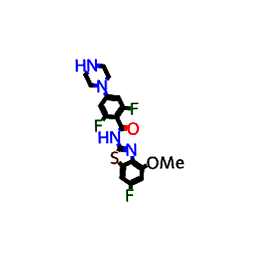 COc1cc(F)cc2sc(NC(=O)c3c(F)cc(N4CCNCC4)cc3F)nc12